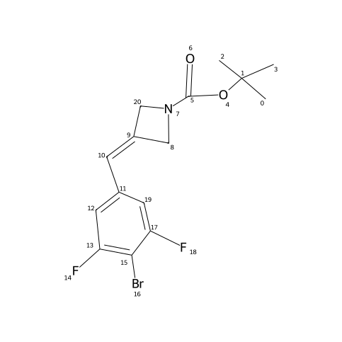 CC(C)(C)OC(=O)N1CC(=Cc2cc(F)c(Br)c(F)c2)C1